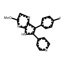 COc1cnc2c(-c3ccc(F)cc3)c(-c3ccncc3)[nH]c2n1